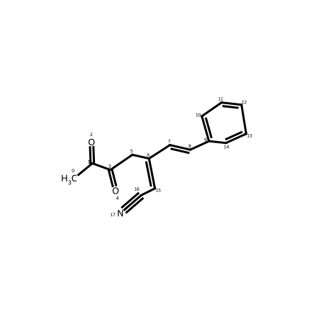 CC(=O)C(=O)CC(C=Cc1ccccc1)=CC#N